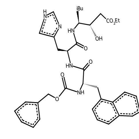 CCOC(=O)C[C@H](O)[C@@H](NC(=O)[C@H](Cc1c[nH]cn1)NC(=O)[C@H](Cc1cccc2ccccc12)NC(=O)OCc1ccccc1)C(C)CC